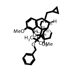 COc1ccc2c3c1O[C@H]1[C@@]4(OC)CC[C@@]5(C[C@@H]4C(C)(C)OCc4ccccc4)[C@@H](C2)N(CC2CC2)CC[C@]315